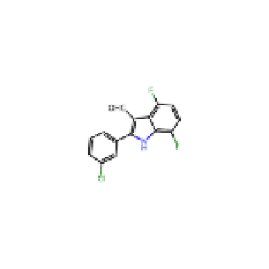 O=Cc1c(-c2cccc(Cl)c2)[nH]c2c(F)ccc(F)c12